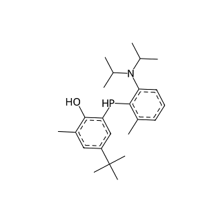 Cc1cc(C(C)(C)C)cc(Pc2c(C)cccc2N(C(C)C)C(C)C)c1O